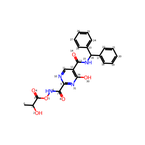 CC(O)C(=O)ONC(=O)c1ncc(C(=O)NC(c2ccccc2)c2ccccc2)c(O)n1